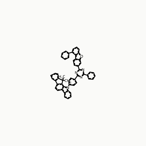 CC1(C)c2ccccc2-c2ccc3c4ccccc4n(-c4ccc(-c5nc(-c6ccccc6)nc(-c6ccc7c(c6)oc6cccc(-c8ccccc8)c67)n5)cc4)c3c21